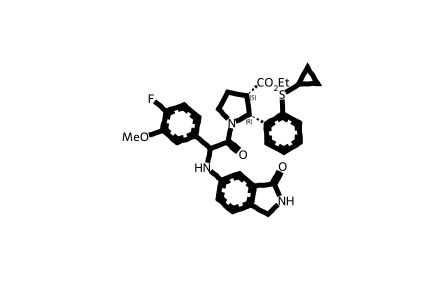 CCOC(=O)[C@H]1CCN(C(=O)C(Nc2ccc3c(c2)C(=O)NC3)c2ccc(F)c(OC)c2)[C@H]1c1ccccc1SC1CC1